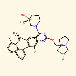 C=Cc1c(F)ccc2cccc(-c3c(C(C)C)cc4c(N5CCC[C@@](C)(O)C5)nc(OC[C@@]56CCCN5C[C@H](F)C6)nc4c3F)c12